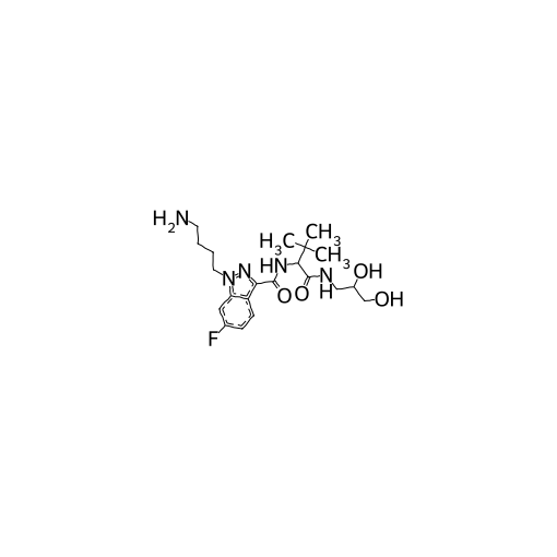 CC(C)(C)C(NC(=O)c1nn(CCCCN)c2cc(F)ccc12)C(=O)NCC(O)CO